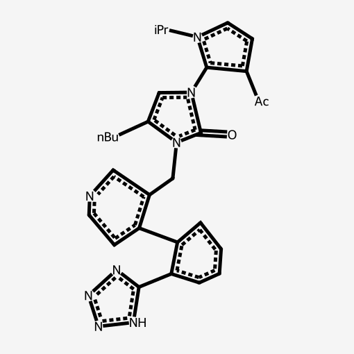 CCCCc1cn(-c2c(C(C)=O)ccn2C(C)C)c(=O)n1Cc1cnccc1-c1ccccc1-c1nnn[nH]1